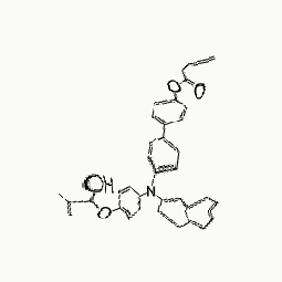 C=CC(=O)Oc1ccc(-c2ccc(N(c3ccc(OC(O)C(=C)C)cc3)c3ccc4ccccc4c3)cc2)cc1